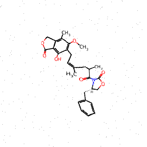 COc1c(C)c2c(c(O)c1CC=C(C)CC(C)C(=O)N1C(=O)OC[C@@H]1Cc1ccccc1)C(=O)OC2